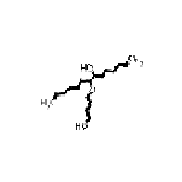 CCCCCCC(O)C(CCCCCC)OCCCCO